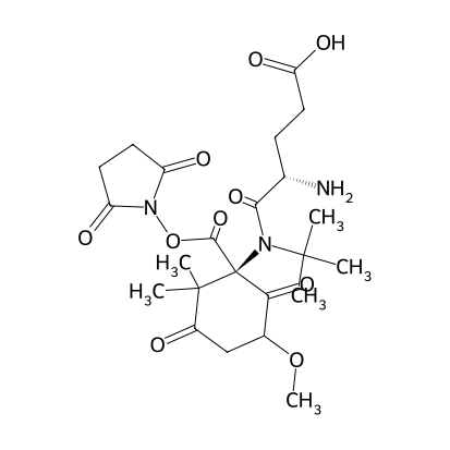 COC1CC(=O)C(C)(C)[C@@](C(=O)ON2C(=O)CCC2=O)(N(C(=O)[C@@H](N)CCC(=O)O)C(C)(C)C)C1=O